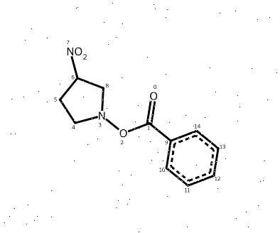 O=C(ON1CCC([N+](=O)[O-])C1)c1ccccc1